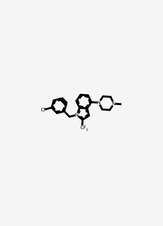 CN1CCN(c2cccc3c2cc(C(F)(F)F)n3Cc2c#ccc(Cl)c2)CC1